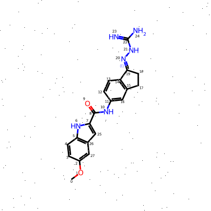 COc1ccc2[nH]c(C(=O)Nc3ccc4c(c3)CC/C4=N\NC(=N)N)cc2c1